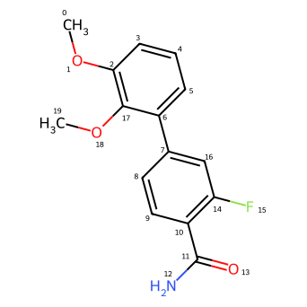 COc1cccc(-c2ccc(C(N)=O)c(F)c2)c1OC